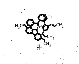 CCCC1=CC(CCC)[C]([Zr+2](=[C](c2ccccc2)c2ccccc2)[CH]2c3cc(CC)ccc3-c3ccc(CC)cc32)=C1CCC.[Cl-].[Cl-]